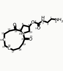 NCCNC(=O)OC1CC2C(=O)CCCCCCCCC(=O)N2C1